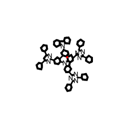 c1ccc(-c2cc(-c3ccccc3)nc(-c3ccc(-n4c5ccc(-c6nc(-c7ccccc7)nc(-c7ccccc7)n6)cc5c5cc(-c6nc(-c7ccccc7)nc(-c7ccccc7)n6)ccc54)c(-c4cccc(-n5c6ccccc6c6ccccc65)c4)c3)n2)cc1